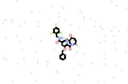 C[C@H]1C=CC(=O)[C@H]2CN1C(=O)C1=C(OCc3ccccc3)CC(C(=O)NCc3c(F)cc(F)cc3F)=CN12